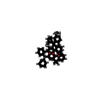 CC(C)(C)c1ccc2c(c1)C1(c3ccccc3Oc3c(-c4ccccc4N(c4ccccc4)c4ccc5c(c4)C(C)(C)c4ccccc4-5)cccc31)c1cc(C(C)(C)C)ccc1-2